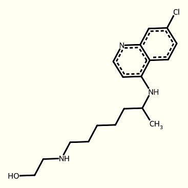 CC(CCCCCNCCO)Nc1ccnc2cc(Cl)ccc12